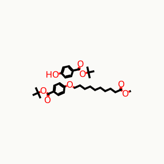 CC(C)(C)OC(=O)c1ccc(O)cc1.COC(=O)CCCCCCCCCOc1ccc(C(=O)OC(C)(C)C)cc1